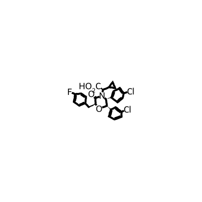 O=C(O)[C@@H](C1CC1)N1C(=O)[C@H](Cc2ccc(F)cc2)O[C@@H](c2cccc(Cl)c2)[C@H]1c1ccc(Cl)cc1